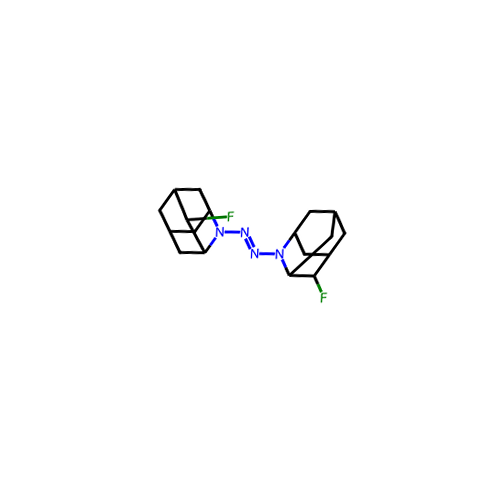 FC1C2CC3CC(C2)N(N=NN2C4CC5CC(C4)C(F)C2C5)C1C3